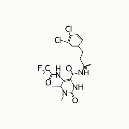 C=C1C(NC(=O)C(F)(F)F)=C(C(=O)N[C@H](C)CCc2ccc(Cl)c(Cl)c2)NC(=O)N1C